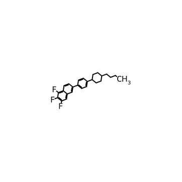 CCCCC1CCC(c2ccc(-c3ccc4c(F)c(F)c(F)cc4c3)cc2)CC1